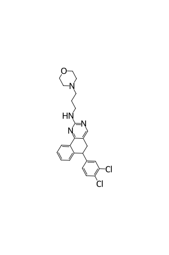 Clc1ccc(C2Cc3cnc(NCCCN4CCOCC4)nc3-c3ccccc32)cc1Cl